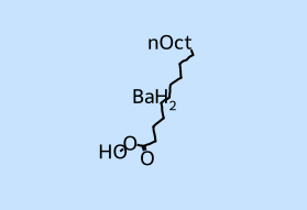 CCCCCCCCCCCCCCCCCC(=O)OO.[BaH2]